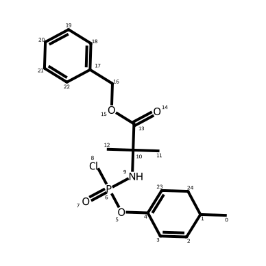 CC1C=CC(OP(=O)(Cl)NC(C)(C)C(=O)OCc2ccccc2)=CC1